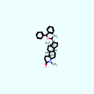 CC(OC(c1ccccc1)c1ccccc1)[C@H]1CC[C@H]2[C@@H]3CCC4N(C)C(=O)CC[C@]4(C)[C@H]3CC[C@]12C